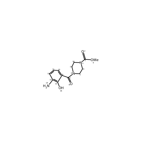 COC(=O)N1CCN(C(=O)c2cccc(N)c2O)CC1